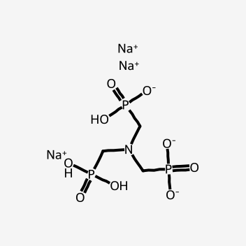 O=P([O-])([O-])CN(CP(=O)([O-])O)CP(=O)(O)O.[Na+].[Na+].[Na+]